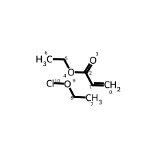 C=CC(=O)OCC.CCOCl